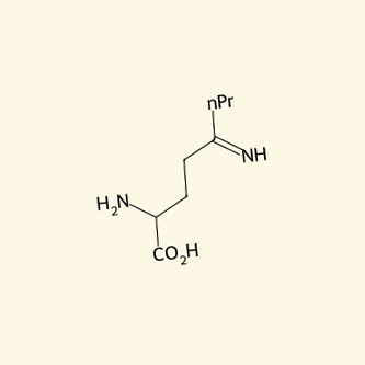 CCCC(=N)CCC(N)C(=O)O